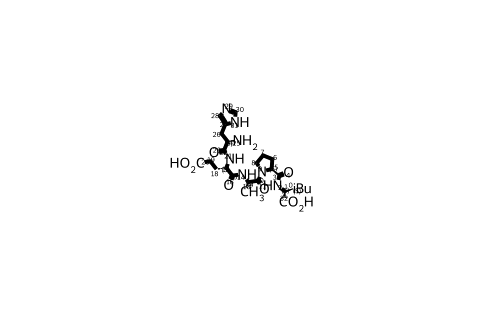 CC[C@H](C)[C@H](NC(=O)[C@@H]1CCCN1C(=O)[C@H](C)NC(=O)[C@H](CCC(=O)O)NC(=O)[C@@H](N)Cc1cnc[nH]1)C(=O)O